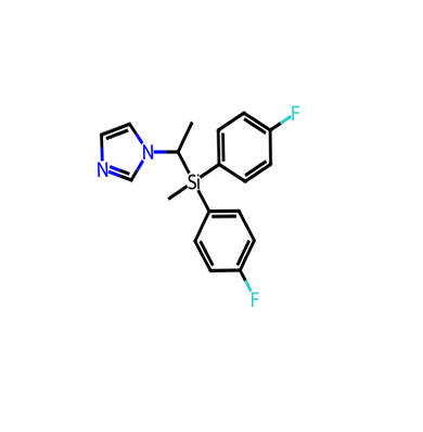 CC(n1ccnc1)[Si](C)(c1ccc(F)cc1)c1ccc(F)cc1